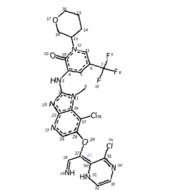 Cn1c(Nc2cc(C(F)(F)F)cn(C3CCCOC3)c2=O)nc2ncc(O/C(C=N)=C3/NC=CN=C3Cl)c(Cl)c21